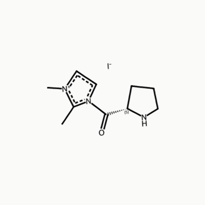 Cc1n(C(=O)[C@@H]2CCCN2)cc[n+]1C.[I-]